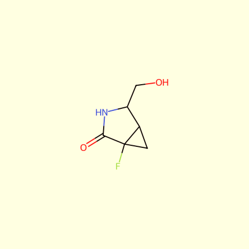 O=C1NC(CO)C2CC12F